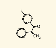 C=C(C(=O)c1ccc(I)cc1)c1ccccc1